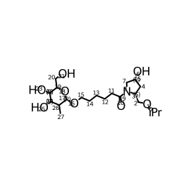 CC(C)OC[C@@H]1C[C@@H](O)CN1C(=O)CCCCCO[C@@H]1OC(CO)[C@H](O)[C@H](O)C1C